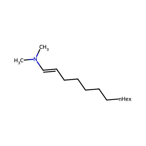 CCCCCCCCCCCC=CN(C)C